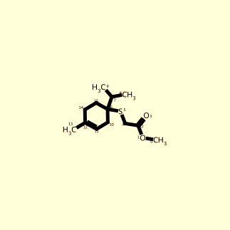 COC(=O)CSC1(C(C)C)CC=C(C)CC1